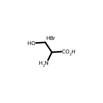 Br.NC(CO)C(=O)O